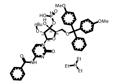 CCCCO[C@H]1[C@H](n2ccc(NC(=O)c3ccccc3)nc2=O)O[C@H](COC(c2ccccc2)(c2ccc(OC)cc2)c2ccc(OC)cc2)[C@@]1(O)O[PH](=O)O.CCN(CC)CC